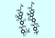 COc1cc(C(F)(F)F)ccc1C(=O)Nc1ccc(-c2cc3cnc(NCCN(C)C)nc3n(OC)c2=O)c(Cl)c1.COn1c(=O)c(-c2ccc(NC(=O)c3ccc(Cl)c(OC(F)(F)F)c3)cc2Cl)cc2cnc(NCCN(C)C)nc21